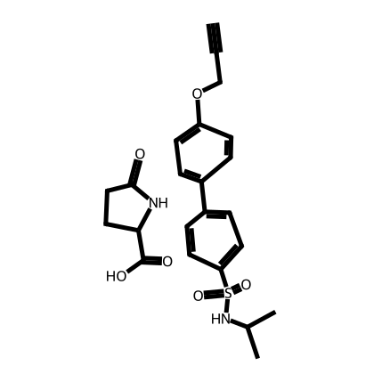 C#CCOc1ccc(-c2ccc(S(=O)(=O)NC(C)C)cc2)cc1.O=C1CCC(C(=O)O)N1